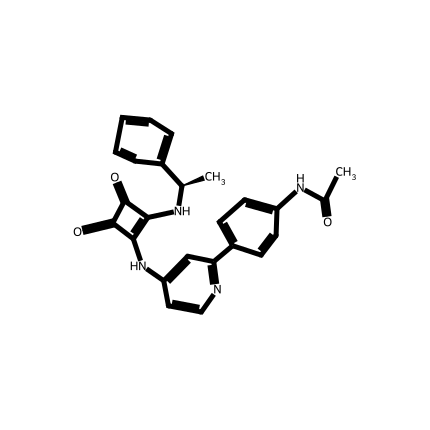 CC(=O)Nc1ccc(-c2cc(Nc3c(N[C@H](C)c4ccccc4)c(=O)c3=O)ccn2)cc1